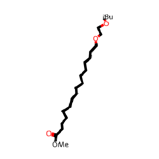 CCC(C)OCCOCCCCCCCCCCCCCCCC(=O)OC